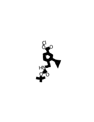 CC(C)(C)OC(=O)NCc1ccc(C(=O)OCl)cc1C1CC1